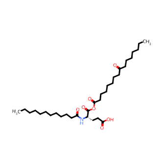 CCCCCCCCCCCC(=O)N[C@@H](CCC(=O)O)C(=O)OC(=O)CCCCCCCC(=O)CCCCCCC